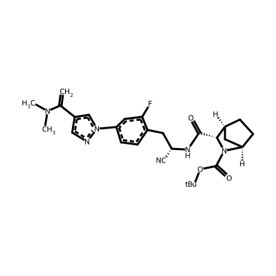 C=C(c1cnn(-c2ccc(C[C@@H](C#N)NC(=O)[C@@H]3[C@H]4CC[C@H](C4)N3C(=O)OC(C)(C)C)c(F)c2)c1)N(C)C